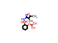 Cc1onc(NS(=O)(=O)c2ccccc2OB(O)O)c1C